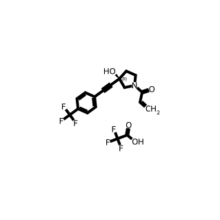 C=CC(=O)N1CC[C@@](O)(C#Cc2ccc(C(F)(F)F)cc2)C1.O=C(O)C(F)(F)F